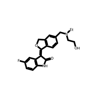 CCN(CCO)Cc1ccc2c(c1)COC2=C1C(=O)Nc2ccc(F)cc21